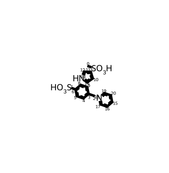 CS(=O)(=O)O.Cc1ccc(S(=O)(=O)O)cc1.c1cc[nH]c1.c1ccncc1